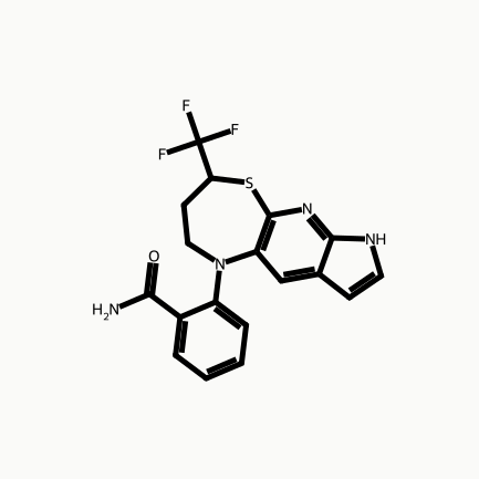 NC(=O)c1ccccc1N1CCC(C(F)(F)F)Sc2nc3[nH]ccc3cc21